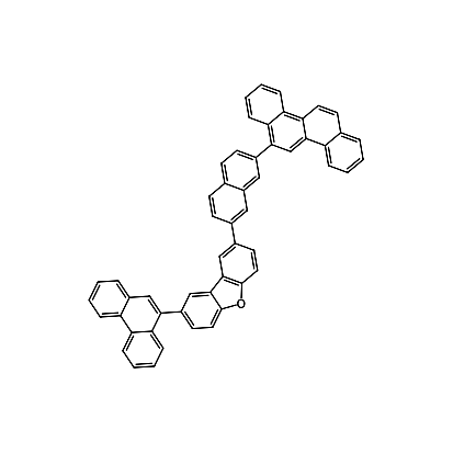 c1ccc2c(c1)cc(-c1ccc3oc4ccc(-c5ccc6ccc(-c7cc8c9ccccc9ccc8c8ccccc78)cc6c5)cc4c3c1)c1ccccc12